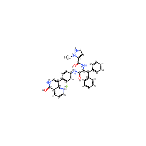 Cn1nccc1C(=O)N[C@H](C(=O)Nc1ccc(-c2c[nH]c(=O)c3cccnc23)c(F)c1)C(c1ccccc1)c1ccccc1